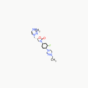 C=NN(/C=C\N)C[C@H]1CN(c2ccc(N3C=NN(CC)CC3)c(F)c2)C(=O)O1